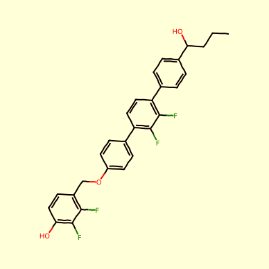 CCCC(O)c1ccc(-c2ccc(-c3ccc(OCc4ccc(O)c(F)c4F)cc3)c(F)c2F)cc1